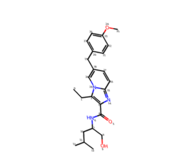 CCc1c(C(=O)NC(CO)CC(C)C)nc2ccc(Cc3ccc(OC)cc3)cn12